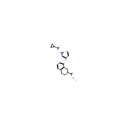 O=NNC(=O)C1CCc2cccc(Oc3ccnc(NC(=O)C4CC4)c3)c2C1